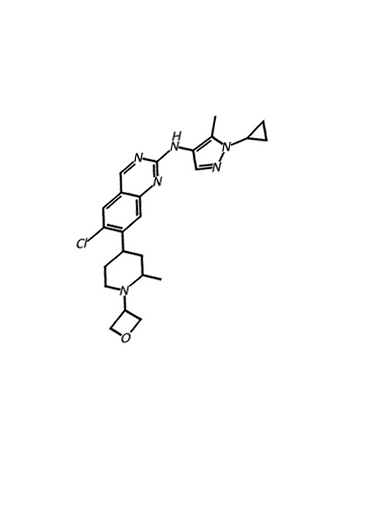 Cc1c(Nc2ncc3cc(Cl)c(C4CCN(C5COC5)C(C)C4)cc3n2)cnn1C1CC1